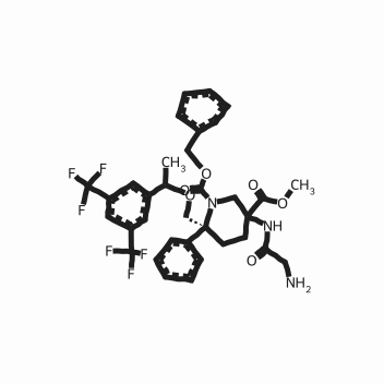 COC(=O)C1(NC(=O)CN)CC[C@@](COC(C)c2cc(C(F)(F)F)cc(C(F)(F)F)c2)(c2ccccc2)N(C(=O)OCc2ccccc2)C1